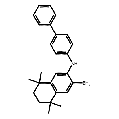 Bc1cc2c(cc1Nc1ccc(-c3ccccc3)cc1)C(C)(C)CCC2(C)C